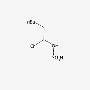 CCCCCC(Cl)NS(=O)(=O)O